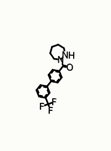 O=C(c1ccc(-c2cccc(C(F)(F)F)c2)cc1)N1CCCCCN1